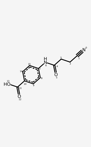 N#CCCC(=O)Nc1ccc(C(=O)O)cc1